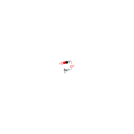 [Be+2].[O-2].[O]=[Y+]